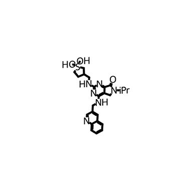 CC(C)N1Cc2c(NCc3cnc4ccccc4c3)nc(NCC3CCS(O)(O)C3)nc2C1=O